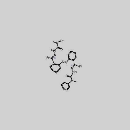 CC(C)/C(=N\NC(=S)N(C)c1ccccc1)c1ccccc1SSc1ccccc1/C(=N/NC(=S)N(C)C(C)C)C(C)C